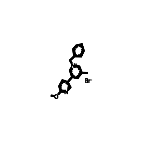 COc1ccc(-c2cc(C)c[n+](Cc3ccccc3)c2)cn1.[Br-]